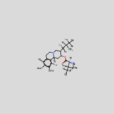 [2H]c1c2c(c([2H])c(OC)c1OC)C1([2H])CC(OC(=O)[C@@]([2H])(N)C([2H])(C([2H])([2H])[2H])C([2H])([2H])[2H])C(C([2H])([2H])C([2H])(C)C([2H])([2H])[2H])CN1CC2